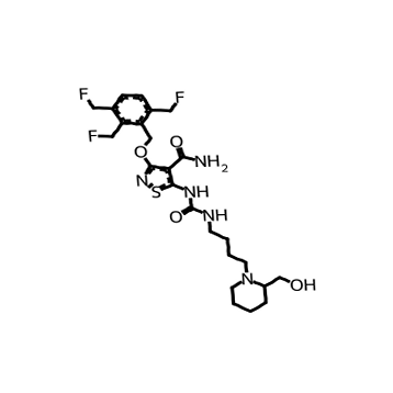 NC(=O)c1c(OCc2c(CF)ccc(CF)c2CF)nsc1NC(=O)NCCCCN1CCCCC1CO